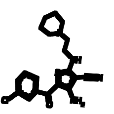 N#Cc1c(NCCN2CCCCC2)sc(C(=O)c2cccc(Cl)c2)c1N